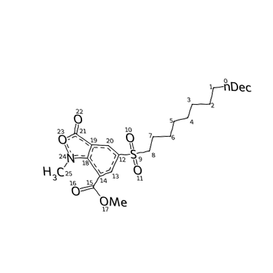 CCCCCCCCCCCCCCCCCCS(=O)(=O)c1cc(C(=O)OC)c2c(c1)c(=O)on2C